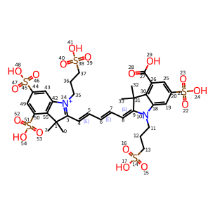 CC1(C)C(/C=C/C=C/C=C2/N(CCCS(=O)(=O)O)c3cc(S(=O)(=O)O)cc(C(=O)O)c3C2(C)C)=[N+](CCCS(=O)(=O)O)c2cc(S(=O)(=O)O)cc(S(=O)(=O)O)c21